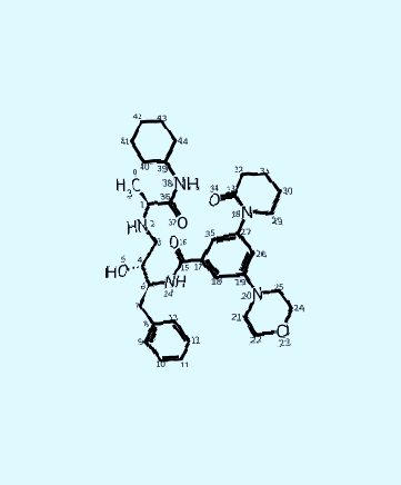 C[C@H](NC[C@@H](O)[C@H](Cc1ccccc1)NC(=O)c1cc(N2CCOCC2)cc(N2CCCCC2=O)c1)C(=O)NC1CCCCC1